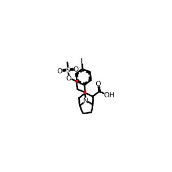 CS(=O)(=O)OCCCN1C2CCC1C(C(=O)O)C(c1ccc(I)cc1)C2